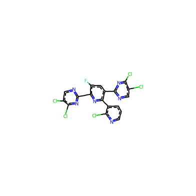 Fc1[c]c(-c2ncc(Cl)c(Cl)n2)c(-c2cccnc2Cl)nc1-c1ncc(Cl)c(Cl)n1